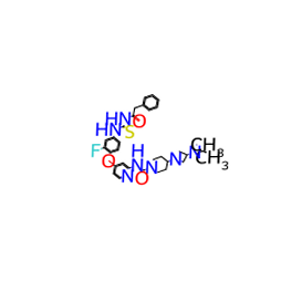 CN(C)C1CN(C2CCN(C(=O)Nc3cc(Oc4ccc(NC(=S)NC(=O)Cc5ccccc5)cc4F)ccn3)CC2)C1